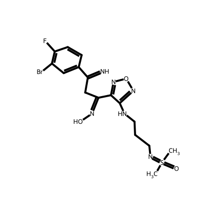 CS(C)(=O)=NCCCNc1nonc1/C(CC(=N)c1ccc(F)c(Br)c1)=N/O